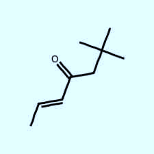 C/C=C/C(=O)CC(C)(C)C